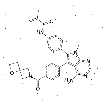 C=C(C)C(=O)Nc1ccc(-c2c(-c3ccc(C(=O)N4CC5(CCO5)C4)cc3)c3c(N)ncnc3n2C)cc1